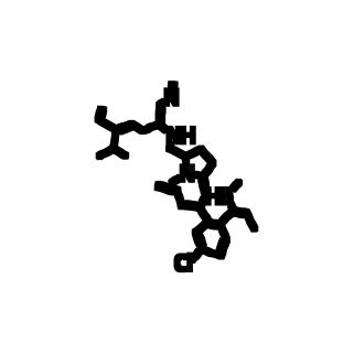 C=C/C=C(\C=C1\CCC(CN/C(=C\N=C)C/C=C(/C=C)C(C)C)N1C)c1cc(Cl)ccc1/C(BC)=C\C